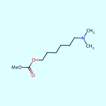 COC(=O)OCCCCCCN(C)C